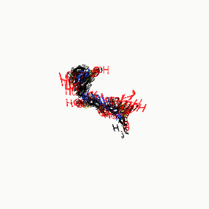 COc1ccc(N=Nc2c(S(=O)(=O)O)cc3c(S(=O)(=O)O)cc(N=Nc4c(S(=O)(=O)O)cc5cc(SOOO)c(N=Nc6ccc7c(O)c(N=Nc8ccccc8S(=O)(=O)O)c(SOOO)cc7c6)c(O)c5c4N)cc3c2O)c(SOOO)c1